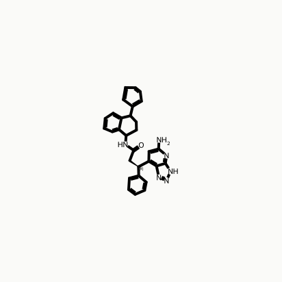 Nc1cc([C@H](CC(=O)NC2CCC(c3ccccc3)c3ccccc32)c2ccccc2)c2nn[nH]c2n1